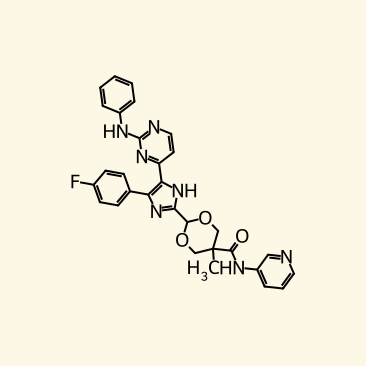 CC1(C(=O)Nc2cccnc2)COC(c2nc(-c3ccc(F)cc3)c(-c3ccnc(Nc4ccccc4)n3)[nH]2)OC1